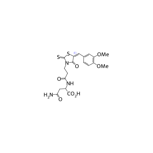 COc1ccc(/C=C2/SC(=S)N(CCC(=O)NC(CC(N)=O)C(=O)O)C2=O)cc1OC